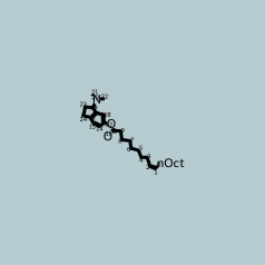 CCCCCCCC/C=C\CCCCCCCC(=O)Oc1ccc2c(c1)C(N(C)C)CC2